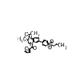 CCCS(=O)(=O)c1ccc(-c2ccc3c(c2)N(C(=O)c2ccco2)C[C@H](C)N3C(C)=O)cc1